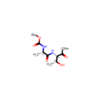 COC(=O)[C@@H](NC(=O)[C@H](C)NC(=O)OC(C)(C)C)[C@@H](C)O